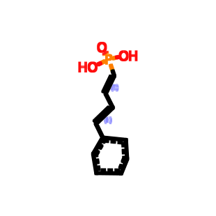 O=P(O)(O)/C=C/C=C/c1ccccc1